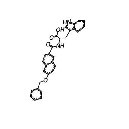 O=C(N[C@@H](Cc1c[nH]c2ccccc12)C(=O)O)c1ccc2cc(OCc3ccccc3)ccc2c1